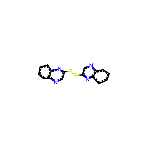 c1ccc2nc(SSc3cnc4ccccc4n3)cnc2c1